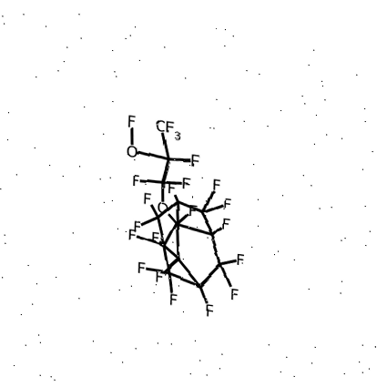 FOC(F)(C(F)(F)F)C(F)(F)OC1(F)C2(F)C(F)(F)C3(F)C(F)(F)C(F)(C2(F)F)C(F)(F)C1(F)C3(F)F